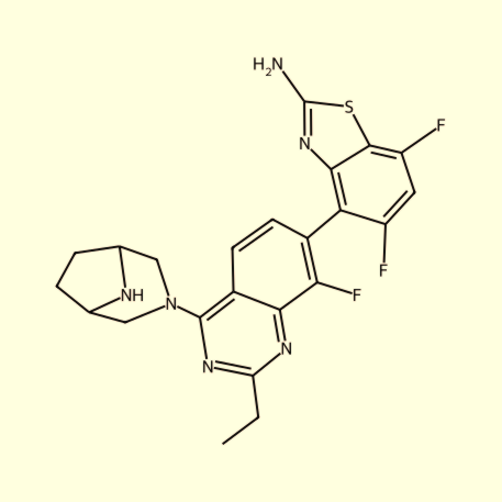 CCc1nc(N2CC3CCC(C2)N3)c2ccc(-c3c(F)cc(F)c4sc(N)nc34)c(F)c2n1